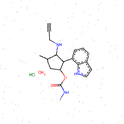 C#CCNC1C(C)CC(OC(=O)NC)C1c1cccc2cc[nH]c12.Cl.O